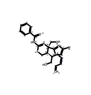 C=C/C=C\OC(CO)[C@H]1CSC(NC(=O)c2ccccc2)=N[C@]1(CO)c1nc(Br)cs1